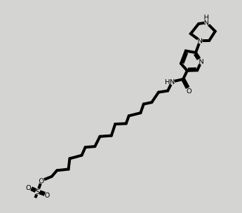 CS(=O)(=O)OCCCCCCCCCCCCCCCCCNC(=O)c1ccc(N2CCNCC2)nc1